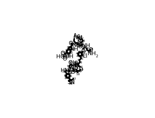 CC(=O)N1CC[C@H](NC(=O)c2cc3cc(C(=O)P(=O)(O)O)ccc3[nH]2)C(=O)N2[C@H](CC[C@H]2C(=O)N[C@@H](CCC(N)=O)COc2cccc(CCCc3nnn4c3COCC(C)(C)[C@@H]4C(=O)N3C[C@H](O)C[C@H]3C(=O)N[C@@H](C)c3ccc(-c4scnc4C)cc3)c2Cl)C1